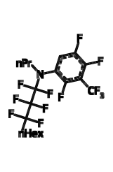 CCCCCCC(F)(F)C(F)(F)C(F)(F)N(CCC)c1cc(F)c(F)c(C(F)(F)F)c1F